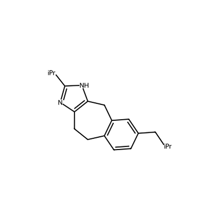 CC(C)Cc1ccc2c(c1)Cc1[nH]c(C(C)C)nc1CC2